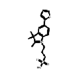 CC1=[N+](CCCS(=O)(=O)O)c2ccc(-c3cccs3)cc2C1(C)C